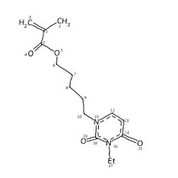 C=C(C)C(=O)OCCCCCn1ccc(=O)n(CC)c1=O